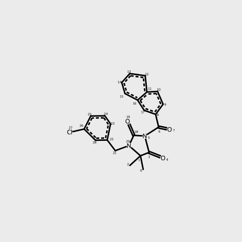 CC1(C)C(=O)N(C(=O)c2ccc3ccccc3c2)C(=O)N1Cc1cccc(Cl)c1